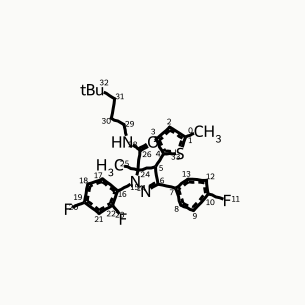 Cc1ccc(C2C(c3ccc(F)cc3)=NN(c3ccc(F)cc3F)C2(C)C(=O)NCCCC(C)(C)C)s1